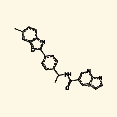 Cc1ccc2nc(-c3ccc(C(C)NC(=O)c4cnc5nccn5c4)cc3)oc2c1